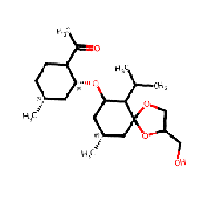 CC(=O)C1CC[C@@H](C)C[C@H]1OC1C[C@@H](C)CC2(OCC(CO)O2)C1C(C)C